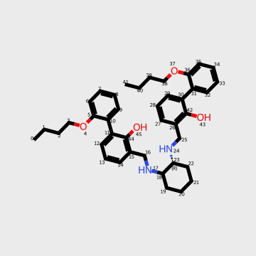 CCCCOc1ccccc1-c1cccc(CNC2CCCC[C@H]2NCc2cccc(-c3ccccc3OCCCC)c2O)c1O